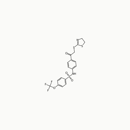 O=C(CSC1=NCCS1)c1ccc(NS(=O)(=O)c2ccc(OC(F)(F)F)cc2)cc1